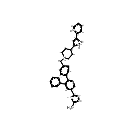 Nc1nnc(-c2cnc(-c3ccc(CN4CCC(c5cc(-c6ccccn6)[nH]n5)CC4)cc3)c(-c3ccccc3)c2)s1